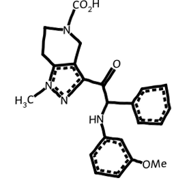 COc1cccc(NC(C(=O)c2nn(C)c3c2CN(C(=O)O)CC3)c2ccccc2)c1